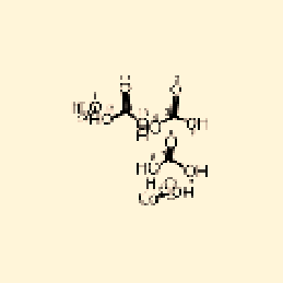 O.O.O=C(O)O.O=C(O)O.O=C(O)O.[Co].[OH][Co]